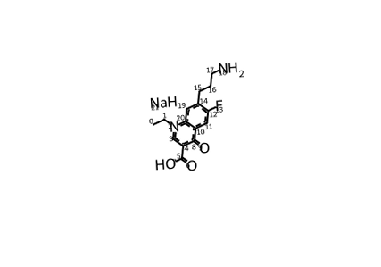 CCn1cc(C(=O)O)c(=O)c2cc(F)c(CCCN)cc21.[NaH]